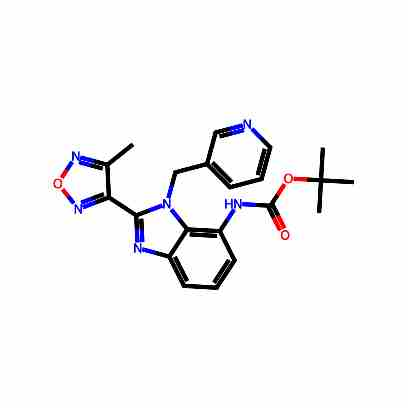 Cc1nonc1-c1nc2cccc(NC(=O)OC(C)(C)C)c2n1Cc1cccnc1